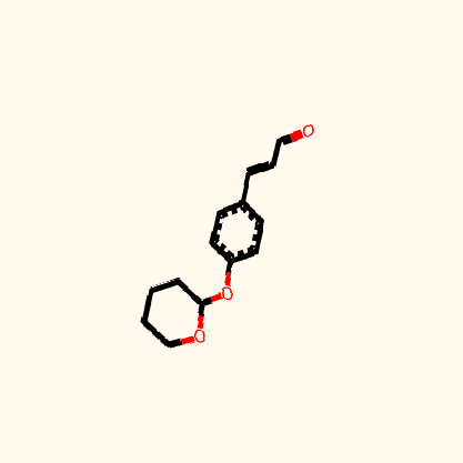 O=CC=Cc1ccc(OC2CCCCO2)cc1